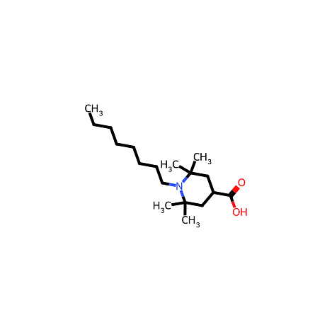 CCCCCCCCN1C(C)(C)CC(C(=O)O)CC1(C)C